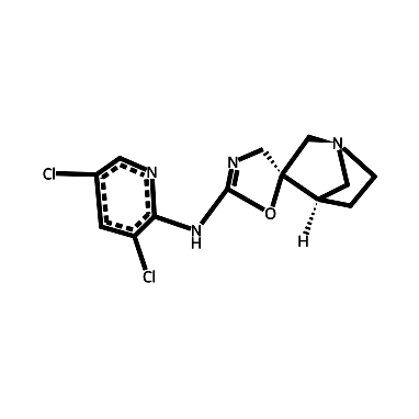 Clc1cnc(NC2=NC[C@@]3(C[N@@]4CC[C@@H]3C4)O2)c(Cl)c1